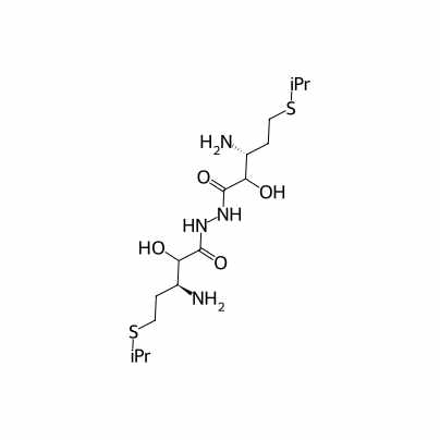 CC(C)SCC[C@@H](N)C(O)C(=O)NNC(=O)C(O)[C@@H](N)CCSC(C)C